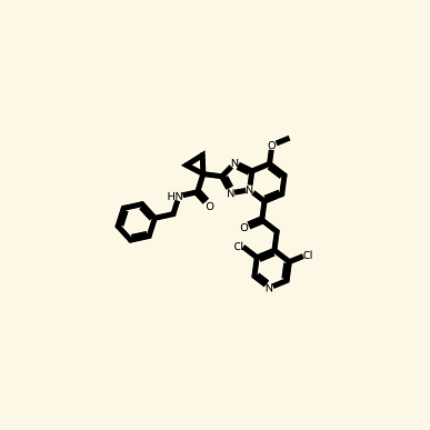 COc1ccc(C(=O)Cc2c(Cl)cncc2Cl)n2nc(C3(C(=O)NCc4ccccc4)CC3)nc12